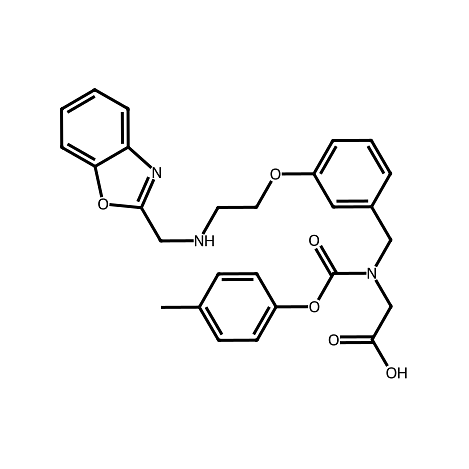 Cc1ccc(OC(=O)N(CC(=O)O)Cc2cccc(OCCNCc3nc4ccccc4o3)c2)cc1